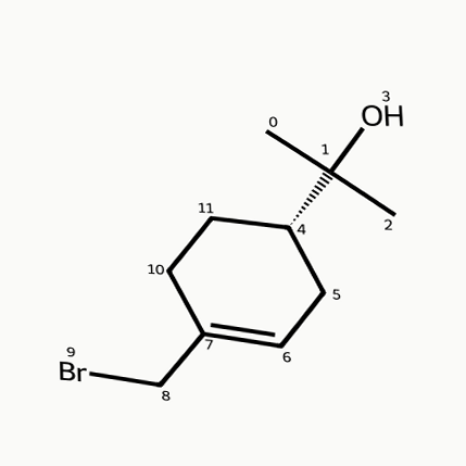 CC(C)(O)[C@@H]1CC=C(CBr)CC1